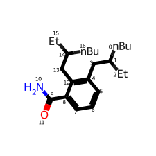 CCCCC(CC)Cc1cccc(C(N)=O)c1CC(CC)CCCC